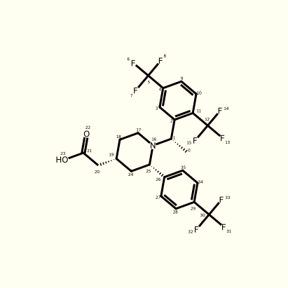 C[C@@H](c1cc(C(F)(F)F)ccc1C(F)(F)F)N1CC[C@@H](CC(=O)O)C[C@H]1c1ccc(C(F)(F)F)cc1